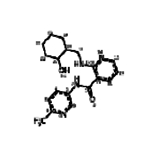 O=C(Nc1ccc(C(F)(F)F)nc1)c1cccnc1NCC1CCCCC1O